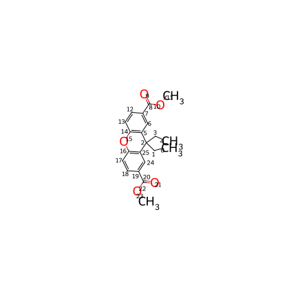 CCC1(CC)c2cc(C(=O)OC)ccc2Oc2ccc(C(=O)OC)cc21